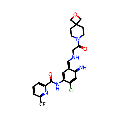 N=C1C=C(Cl)C(NC(=O)c2cccc(C(F)(F)F)n2)=C/C1=C/NCC(=O)N1CCC2(CC1)COC2